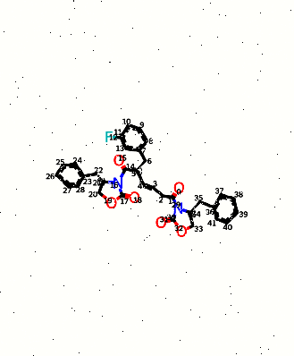 O=C(CC=C[C@H](Cc1cccc(F)c1)C(=O)N1C(=O)OC[C@@H]1Cc1ccccc1)N1C(=O)OC[C@@H]1Cc1ccccc1